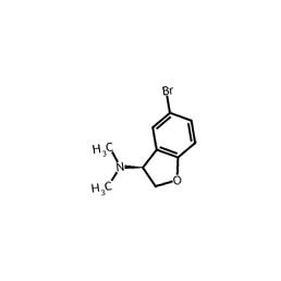 CN(C)[C@@H]1COc2ccc(Br)cc21